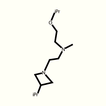 CC(C)OCCN(C)CCN1CC(C(C)C)C1